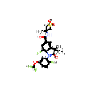 CC1(NC(=O)c2cc(F)c3c(c2)C(C)(C)C(=O)N3c2cc(OC(F)F)ccc2F)CS(=O)(=O)C1